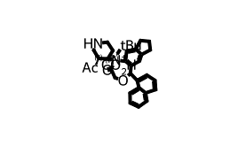 CC(=O)[C@H]1CNCC[C@]1(C(=O)O)[N@+]1(CC(C)(C)C)C(=O)COC(c2cccc3ccccc23)c2cc3c(cc21)CCC3